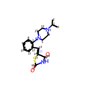 CC(C)N1CCN(c2ccccc2/C=C2\SC(=O)NC2=O)CC1